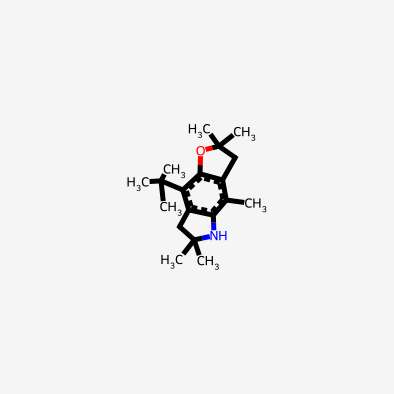 Cc1c2c(c(C(C)(C)C)c3c1NC(C)(C)C3)OC(C)(C)C2